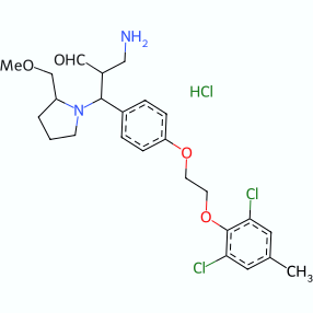 COCC1CCCN1C(c1ccc(OCCOc2c(Cl)cc(C)cc2Cl)cc1)C(C=O)CN.Cl